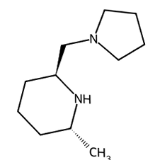 C[C@@H]1CCC[C@@H](CN2CCCC2)N1